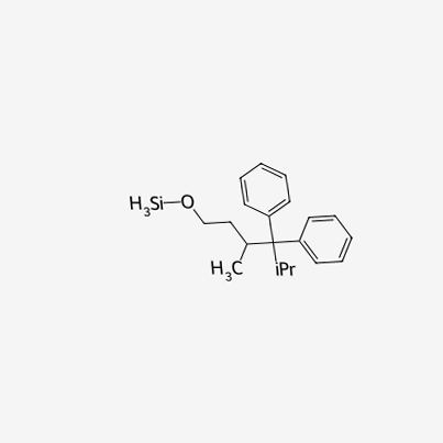 CC(C)C(c1ccccc1)(c1ccccc1)C(C)CCO[SiH3]